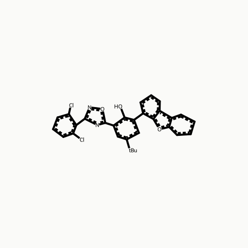 CC(C)(C)c1cc(-c2nc(-c3c(Cl)cccc3Cl)no2)c(O)c(-c2cccc3c2oc2ccccc23)c1